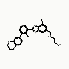 Cc1c(-c2ccc3c(c2)OCCO3)cccc1-c1nc2c(Cl)cc(CNCCO)cn2n1